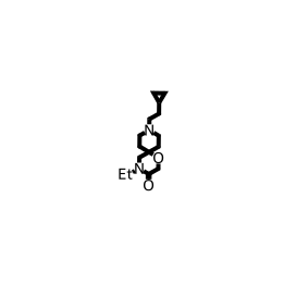 CCN1CC2(CCN(CCC3CC3)CC2)OCC1=O